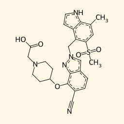 Cc1cc(S(C)(=O)=O)c(Cn2cc3ccc(C#N)c(OC4CCN(CC(=O)O)CC4)c3n2)c2cc[nH]c12